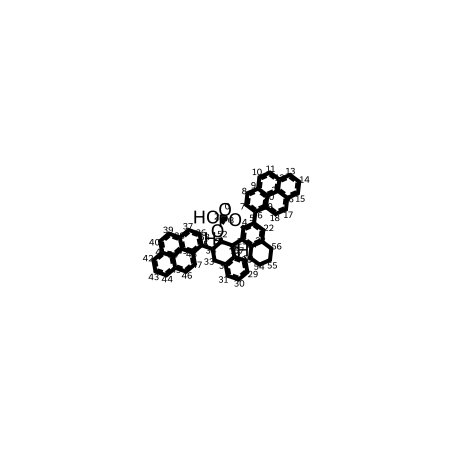 O=P1(O)Oc2c(-c3ccc4ccc5cccc6ccc3c4c56)cc3c(c2[C@H]2c4ccccc4CC(c4ccc5ccc6cccc7ccc4c5c67)[C@H]2O1)CCCC3